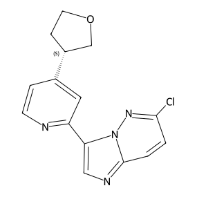 Clc1ccc2ncc(-c3cc([C@@H]4CCOC4)ccn3)n2n1